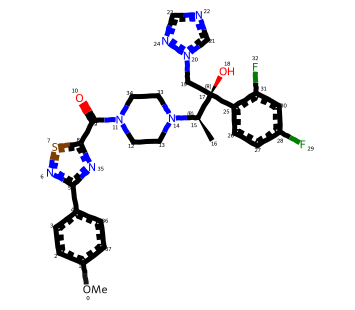 COc1ccc(-c2nsc(C(=O)N3CCN([C@H](C)[C@](O)(Cn4cncn4)c4ccc(F)cc4F)CC3)n2)cc1